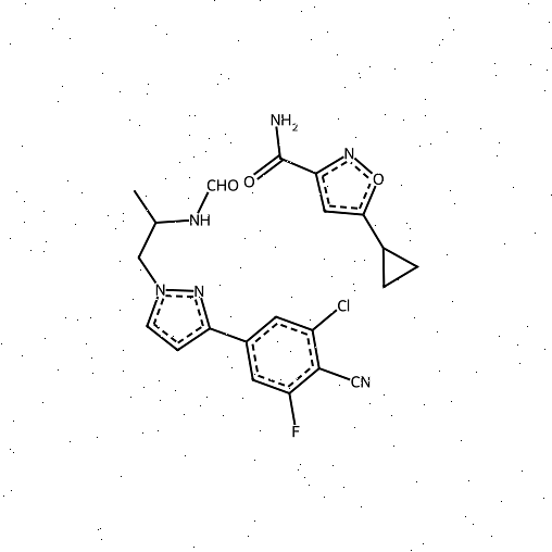 CC(Cn1ccc(-c2cc(F)c(C#N)c(Cl)c2)n1)NC=O.NC(=O)c1cc(C2CC2)on1